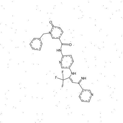 N=C(/C=C(\Nc1ccc(NC(=O)c2ccc(=O)n(Cc3ccccc3)c2)nc1)C(F)(F)F)c1cccnc1